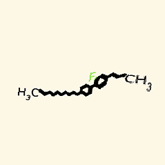 CCCCCCCCCCCc1ccc(-c2ccc(CCCC)cc2F)cc1